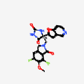 COc1c(F)cc2c(c1F)C(=O)N(C[C@@]1(c3cc4cnccc4o3)NC(=O)NC1=O)C2